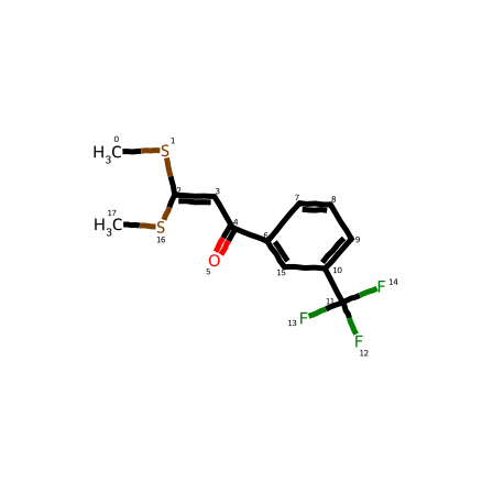 CSC(=CC(=O)c1cccc(C(F)(F)F)c1)SC